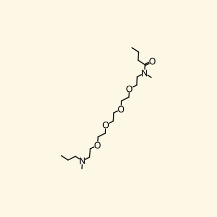 CCCC(=O)N(C)CCOCCOCCOCCOCCN(C)CCC